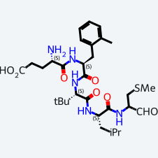 CSCC(C=O)NC(=O)[C@H](CC(C)C)NC(=O)[C@@H](NC(=O)[C@H](Cc1ccccc1C)NC(=O)[C@@H](N)CCC(=O)O)C(C)(C)C